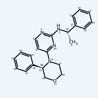 C[C@H](Nc1nccc(N2CCOC[C@H]2c2ccccc2)n1)c1ccccc1